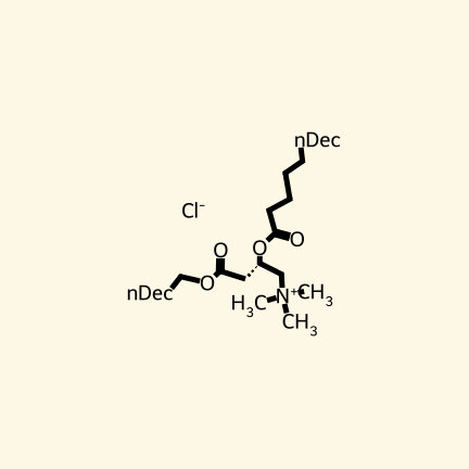 CCCCCCCCCCCCCCC(=O)O[C@@H](CC(=O)OCCCCCCCCCCC)C[N+](C)(C)C.[Cl-]